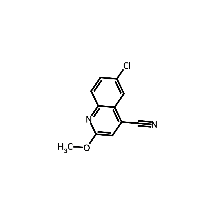 COc1cc(C#N)c2cc(Cl)ccc2n1